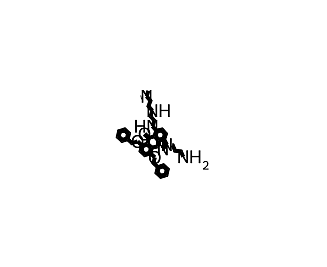 CN(C)CCNCCNc1ccc2c3c(nn2CCCN)-c2c(OCc4ccccc4)ccc(OCc4ccccc4)c2C(=O)c13